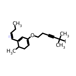 CC/C=C\C1=CC(OCCC#CC(C)(C)I)=CCC1C